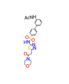 CC(=O)Nc1cccc(-c2ccc(S(=O)(=O)Nc3nnc(CC(=O)N4CCOCC4)s3)cc2)c1